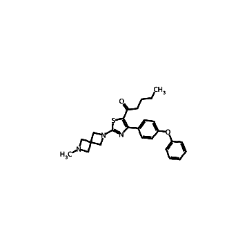 CCCCC(=O)c1sc(N2CC3(CN(C)C3)C2)nc1-c1ccc(Oc2ccccc2)cc1